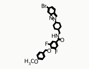 COc1ccc(COc2c(F)cc(C(=O)NCC3CCC(n4cc5ccc(Br)cc5n4)CC3)cc2F)cc1